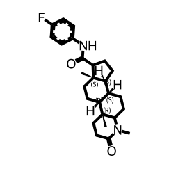 CN1C(=O)CC[C@@]2(C)C1CC[C@@H]1[C@H]2CC[C@]2(C)C(C(=O)Nc3ccc(F)cc3)CC[C@@H]12